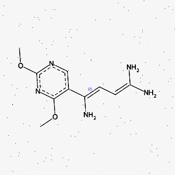 COc1ncc(/C(N)=C/C=C(N)N)c(OC)n1